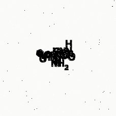 CC(NC(=O)C(C)(C)NC(=O)C(Cc1ccc(C(=O)c2ccccc2)cc1)NC(=O)C(C)(C)N)C(=O)NC(C)(C)C=O